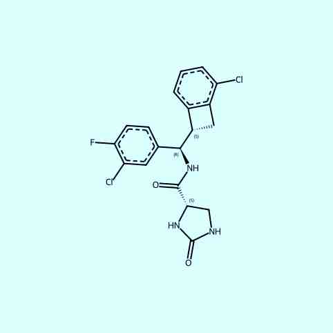 O=C1NC[C@@H](C(=O)N[C@@H](c2ccc(F)c(Cl)c2)[C@H]2Cc3c(Cl)cccc32)N1